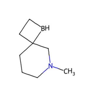 CN1CCCC2(BCC2)C1